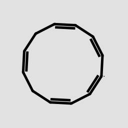 [C]1=CC=CCC=CCC=CC=C1